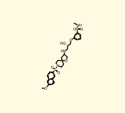 CNS(=O)(=O)c1cccc(OC[C@@H](O)CNC2COC3(CCN(S(=O)(=O)c4ccc5cc(OC)ccc5c4)CC3)C2)c1